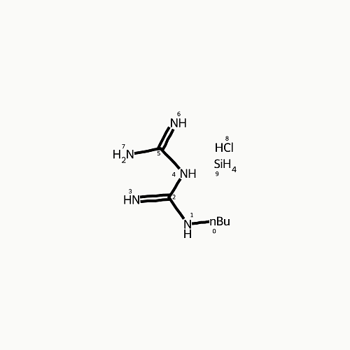 CCCCNC(=N)NC(=N)N.Cl.[SiH4]